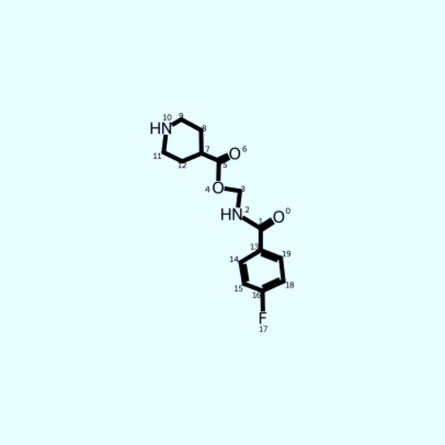 O=C(NCOC(=O)C1CCNCC1)c1ccc(F)cc1